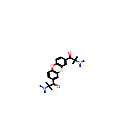 CN(C)C(C)(C)C(=O)c1ccc2c(c1)Sc1cc(C(=O)C(C)(C)N(C)C)ccc1O2